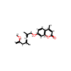 C=C(CC(C)=C=C(C)COc1ccc2c(C)cc(=O)oc2c1)OC